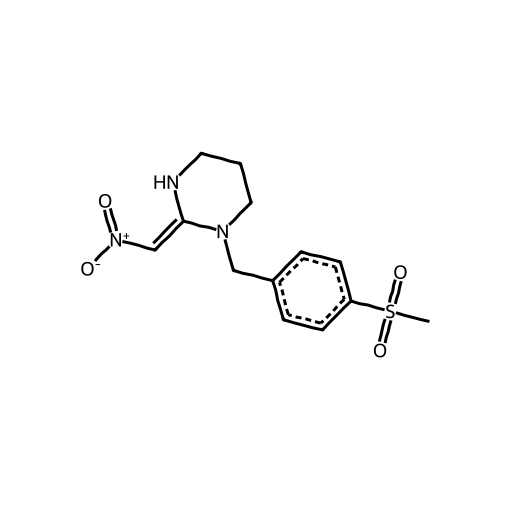 CS(=O)(=O)c1ccc(CN2CCCNC2=C[N+](=O)[O-])cc1